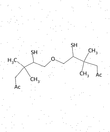 CC(=O)CC(C)(C)C(S)COCC(S)C(C)(C)CC(C)=O